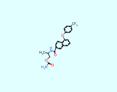 CC(COC(N)=O)NC(=O)c1ccc2c(Oc3ccc(C(F)(F)F)cc3)cccc2c1